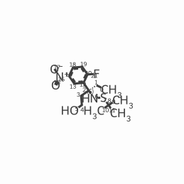 CC[C@@](CCO)(NSC(C)(C)C)c1cc([N+](=O)[O-])ccc1F